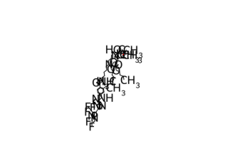 CCCCOC(=O)C(OCCCC)(OCCCC)N(CCCCCNC(=O)c1ccc(Nc2nccn3c(-c4cn(CC(F)F)nc4C(F)(F)F)cnc23)cc1CC)CC1CN(C(=O)OC(C)(C)C)C1